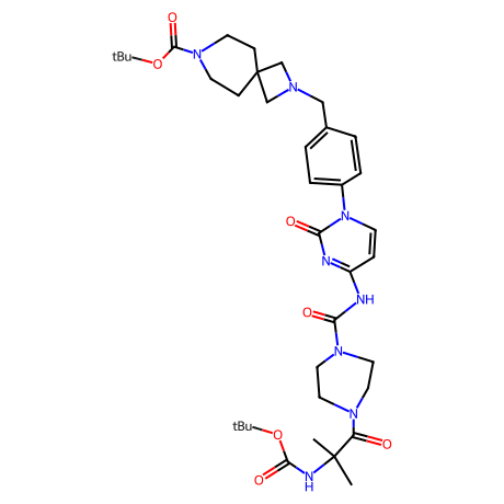 CC(C)(C)OC(=O)NC(C)(C)C(=O)N1CCN(C(=O)Nc2ccn(-c3ccc(CN4CC5(CCN(C(=O)OC(C)(C)C)CC5)C4)cc3)c(=O)n2)CC1